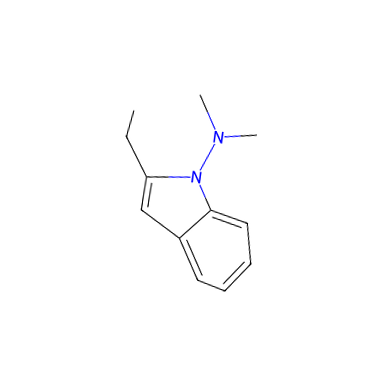 CCc1cc2ccccc2n1N(C)C